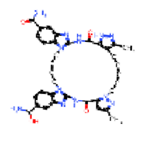 Cc1cc2n(n1)CCCCCc1c(C)n[nH]c1C(=O)Nc1nc3cc(C(N)=O)ccc3n1CCCCn1c(nc3cc(C(N)O)ccc31)NC2=O